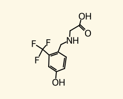 O=C(O)CNCc1ccc(O)cc1C(F)(F)F